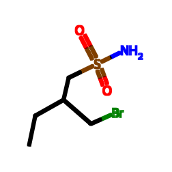 CCC(CBr)CS(N)(=O)=O